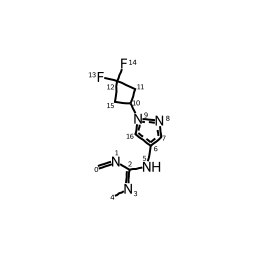 C=N/C(=N\C)Nc1cnn(C2CC(F)(F)C2)c1